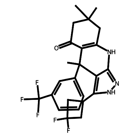 CC1(C)CC(=O)C2=C(C1)Nc1n[nH]c(C3CC(F)(F)C3)c1C2(C)c1cccc(C(F)(F)F)c1